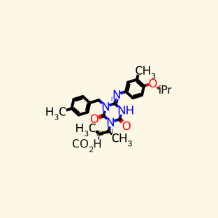 Cc1ccc(Cn2c(=O)n([C@@H](C)[C@@H](C)C(=O)O)c(=O)[nH]/c2=N\c2ccc(OC(C)C)c(C)c2)cc1